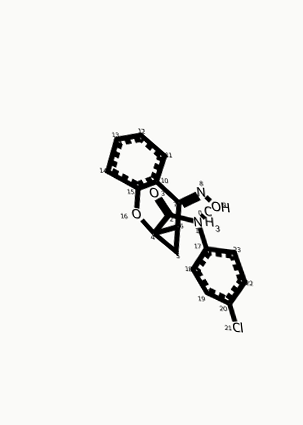 CN(C(=O)C12CC1C(=NO)c1ccccc1O2)c1ccc(Cl)cc1